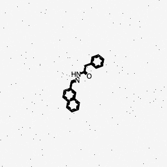 O=C(Cc1ccccc1)NN=Cc1ccc2ccccc2c1